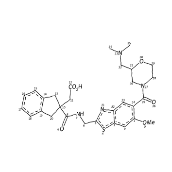 COc1cc2sc(CNC(=O)C3(CC(=O)O)Cc4ccccc4C3)nc2cc1C(=O)N1CCOC(CN(C)C)C1